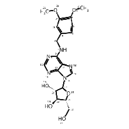 COc1ccc(CNc2ncnc3c2ncn3C2O[C@H](CO)[C@@H](O)[C@@H]2O)cc1OC